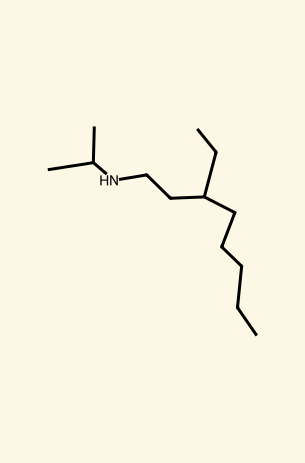 CCCCCC(CC)CCNC(C)C